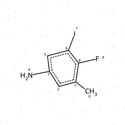 Cc1cc(N)cc(I)c1F